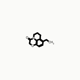 CCc1ccc2c3c1CCCN3C(=O)CO2